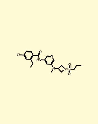 CCCS(=O)(=O)N1CC(N(C)c2cncc(NC(=O)c3ccc(Cl)cc3CC)c2)C1